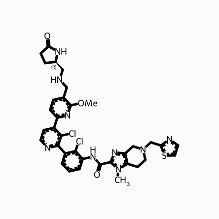 COc1nc(-c2ccnc(-c3cccc(NC(=O)c4nc5c(n4C)CCN(Cc4nccs4)C5)c3Cl)c2Cl)ccc1CNC[C@H]1CCC(=O)N1